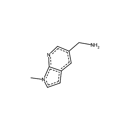 Cn1ccc2cc(CN)cnc21